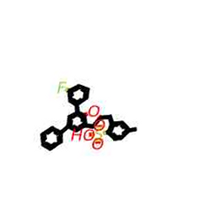 Cc1ccc(S(=O)(=O)O)c(CC2Cc3cc(-c4ccccc4)cc(-c4cccc(F)c4)c3O2)c1